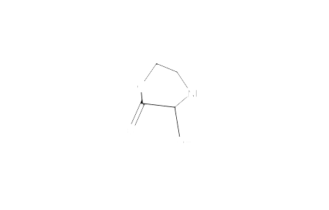 O=C1OCCNC1O